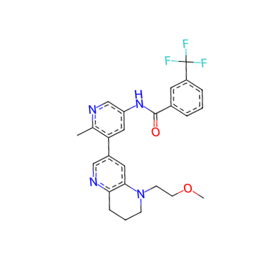 COCCN1CCCc2ncc(-c3cc(NC(=O)c4cccc(C(F)(F)F)c4)cnc3C)cc21